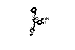 CCn1cc(CCC(CC(=O)OCc2ccccc2)c2ccc(Cl)c(CO)c2)nn1